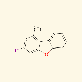 Cc1cc(I)cc2oc3ccccc3c12